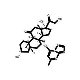 C[C@]12CC[C@@H](O)C[C@H]1CC[C@@H]1[C@@H]2C(=O)C[C@@]2(C)[C@H]1CC[C@]2(O)C(=O)CO.Cc1cc(O)n2ncnc2n1